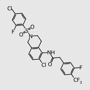 O=C(Cc1ccc(C(F)(F)F)c(F)c1)Nc1c(Cl)ccc2c1CCN(S(=O)(=O)c1ccc(Cl)cc1F)C2